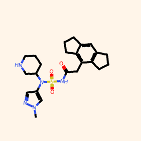 Cn1cc(N(C2CCCNC2)S(=O)(=O)NC(=O)Cc2c3c(cc4c2CCC4)CCC3)cn1